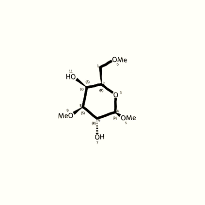 COC[C@H]1O[C@@H](OC)[C@H](O)[C@@H](OC)[C@H]1O